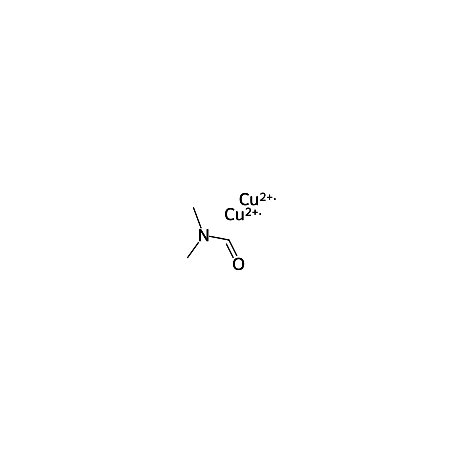 CN(C)C=O.[Cu+2].[Cu+2]